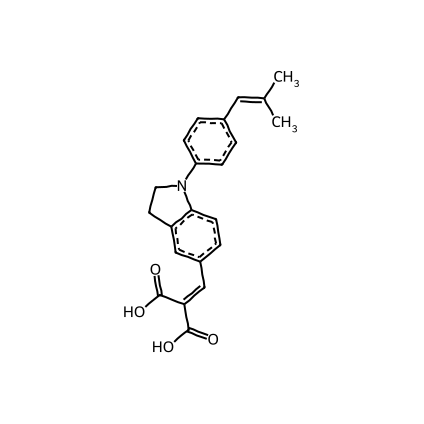 CC(C)=Cc1ccc(N2CCc3cc(C=C(C(=O)O)C(=O)O)ccc32)cc1